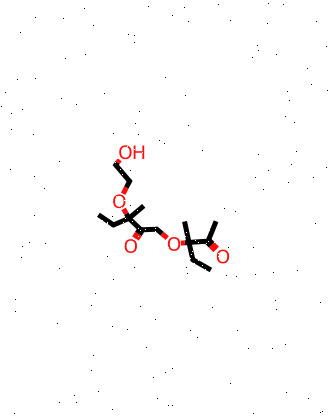 CCC(C)(OCC(=O)C(C)(CC)OCCO)C(C)=O